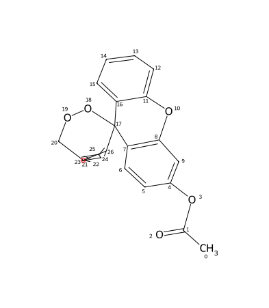 CC(=O)Oc1ccc2c(c1)Oc1ccccc1C21OOCc2ccccc21